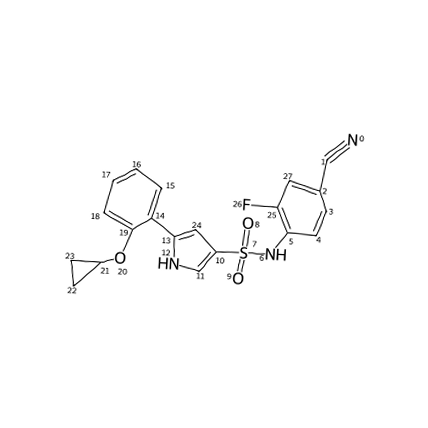 N#Cc1ccc(NS(=O)(=O)c2c[nH]c(-c3ccccc3OC3CC3)c2)c(F)c1